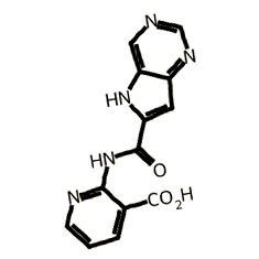 O=C(Nc1ncccc1C(=O)O)c1cc2ncncc2[nH]1